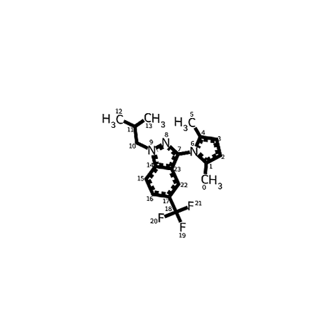 Cc1ccc(C)n1-c1nn(CC(C)C)c2ccc(C(F)(F)F)cc12